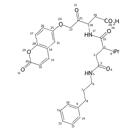 CC(C)C(CC(=O)NCCCc1ccccc1)C(=O)NC(CC(=O)O)C(=O)COc1ccc2oc(=O)ccc2c1